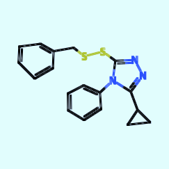 c1ccc(CSSc2nnc(C3CC3)n2-c2ccccc2)cc1